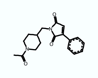 CC(=O)N1CCC(CN2C(=O)C=C(c3ccccc3)C2=O)CC1